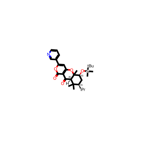 CC(C)[C@@H]1C[C@H](O[Si](C)(C)C(C)(C)C)C2(C)Oc3cc(-c4cccnc4)oc(=O)c3C(=O)[C@@H]2C1(C)C